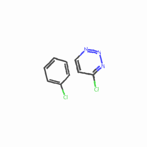 Clc1ccccc1.Clc1ccnnn1